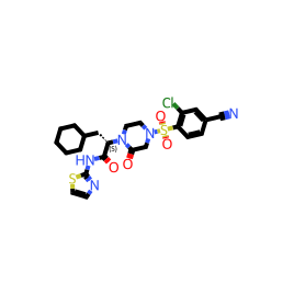 N#Cc1ccc(S(=O)(=O)N2CCN([C@@H](CC3CCCCC3)C(=O)Nc3nccs3)C(=O)C2)c(Cl)c1